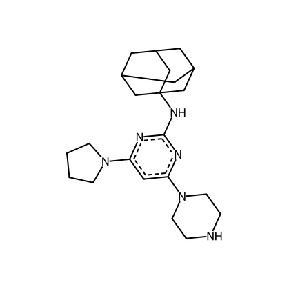 c1c(N2CCCC2)nc(NC23CC4CC(CC(C4)C2)C3)nc1N1CCNCC1